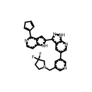 FC1(F)CCN(Cc2cncc(-c3cnc4[nH]nc(-c5cc6c(C7=CCC=C7)nccc6[nH]5)c4c3)c2)C1